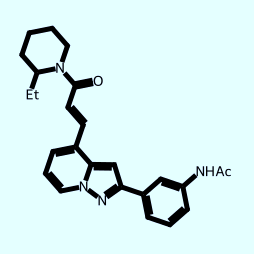 CCC1CCCCN1C(=O)C=Cc1cccn2nc(-c3cccc(NC(C)=O)c3)cc12